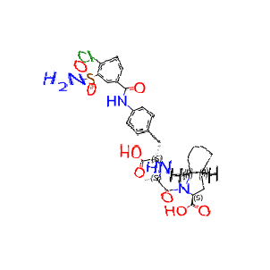 C[C@H](N[C@@H](Cc1ccc(NC(=O)c2ccc(Cl)c(S(N)(=O)=O)c2)cc1)C(=O)O)C(=O)N1[C@@H]2CCCC[C@@H]2C[C@H]1C(=O)O